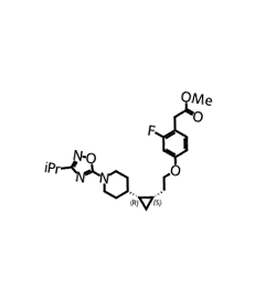 COC(=O)Cc1ccc(OCC[C@@H]2C[C@@H]2C2CCN(c3nc(C(C)C)no3)CC2)cc1F